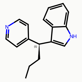 CCC[C@@H](c1ccncc1)c1c[nH]c2ccccc12